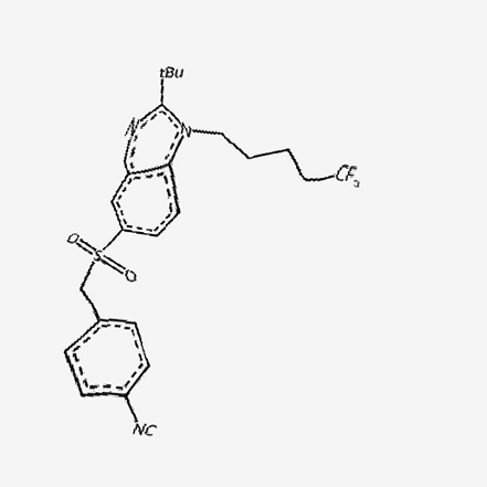 [C-]#[N+]c1ccc(CS(=O)(=O)c2ccc3c(c2)nc(C(C)(C)C)n3CCCCC(F)(F)F)cc1